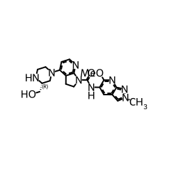 COc1nc2nn(C)cc2cc1NC(=O)N1CCc2c(N3CCN[C@@H](CO)C3)ccnc21